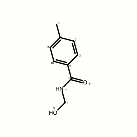 Cc1ccc(C(=O)NCO)cc1